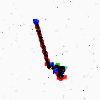 CC[C@@]1(O)C(=O)OCc2c1cc1n(c2=O)Cc2c-1nc1cc(F)c(C)c3c1c2[C@@H](Nc1nc(Cl)nc(NCCSSC(C)(C)CNC(=O)CCOCCOCCOCCOCCOCCOCCOCCOCCOCCOCCOCCOCCN=[N+]=[N-])n1)CC3